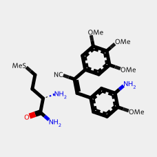 COc1ccc(/C=C(/C#N)c2cc(OC)c(OC)c(OC)c2)cc1N.CSCC[C@H](N)C(N)=O